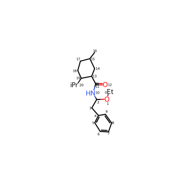 CCOC(Cc1ccccc1)NC(=O)C1CC(C)CCC1C(C)C